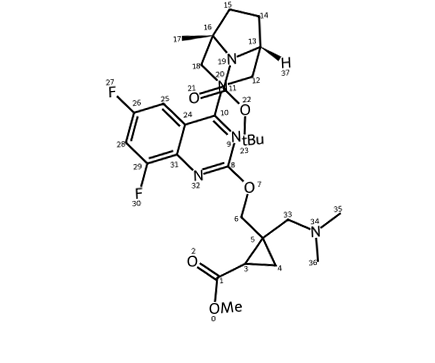 COC(=O)C1CC1(COc1nc(N2C[C@H]3CC[C@@](C)(C2)N3C(=O)OC(C)(C)C)c2cc(F)cc(F)c2n1)CN(C)C